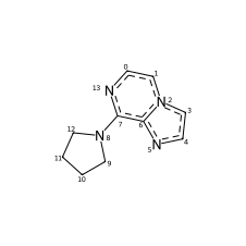 c1cn2ccnc2c(N2CCCC2)n1